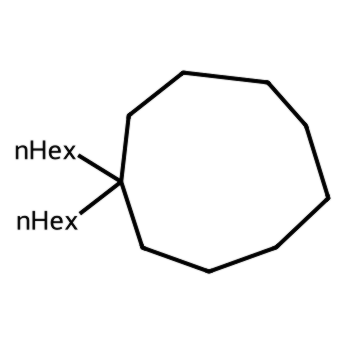 CCCCCCC1(CCCCCC)CCCCCCCC1